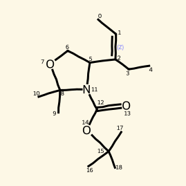 C/C=C(/CC)C1COC(C)(C)N1C(=O)OC(C)(C)C